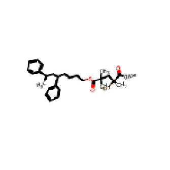 COC(=O)C(C)(Br)CC(C)(C)C(=O)OCCCCC(CC(C)c1ccccc1)c1ccccc1